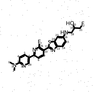 CN(C)c1ccc(-c2ccc(-c3nc4ccc(NCC(O)CF)cc4s3)c(F)n2)cn1